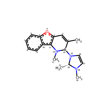 CC1=Cc2oc3ccccc3c2N(C)B1N1C=CN(C)[C@@H]1C